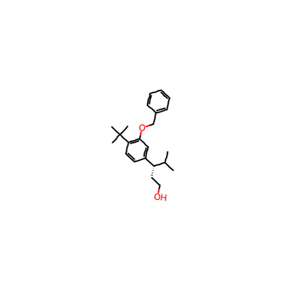 CC(C)[C@H](CCO)c1ccc(C(C)(C)C)c(OCc2ccccc2)c1